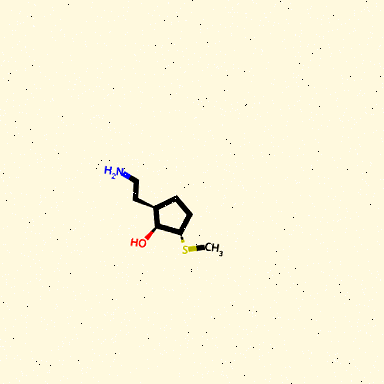 CS[C@H]1CC[C@H](CCN)[C@@H]1O